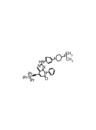 CC(C)[Si](C#Cc1cc(=O)n(-c2ccccc2)c2nc(Nc3ccc(N4CCC(N(C)C)CC4)cc3)ncc12)(C(C)C)C(C)C